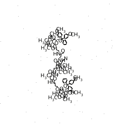 COc1ccc(C(OC[C@H]2O[C@@H](OCCCNC(=O)CC(C)NC(=O)OCC(COC(=O)NCCC(C=O)NCCCO[C@@H]3O[C@H](COC(c4ccccc4)(c4ccc(OC)cc4)c4ccc(OC)cc4)[C@H](OC(C)=O)[C@H](OC(C)=O)[C@H]3NC(C)=O)OP(OCCC#N)N(C(C)C)C(C)C)[C@H](NC(C)=O)[C@@H](OC(C)=O)[C@H]2OC(C)=O)(c2ccccc2)c2ccc(OC)cc2)cc1